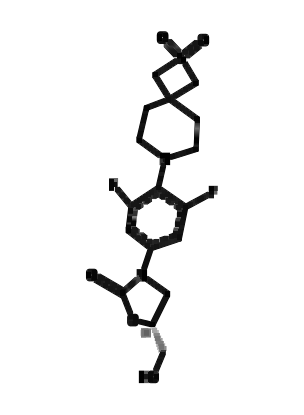 O=C1O[C@@H](CO)CN1c1cc(F)c(N2CCC3(CC2)CS(=O)(=O)C3)c(F)c1